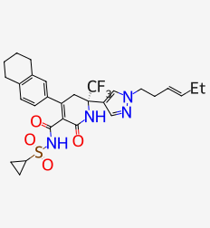 CC/C=C/CCn1cc([C@]2(C(F)(F)F)CC(c3ccc4c(c3)CCCC4)=C(C(=O)NS(=O)(=O)C3CC3)C(=O)N2)cn1